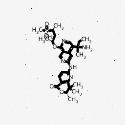 CCC(C)(N)c1cnc(O[C@H](C)C[C@@H](C)S(C)(=N)=O)c2cnc(Nc3ccc4c(n3)C(C)(C)[C@H](C)OC4=O)cc12